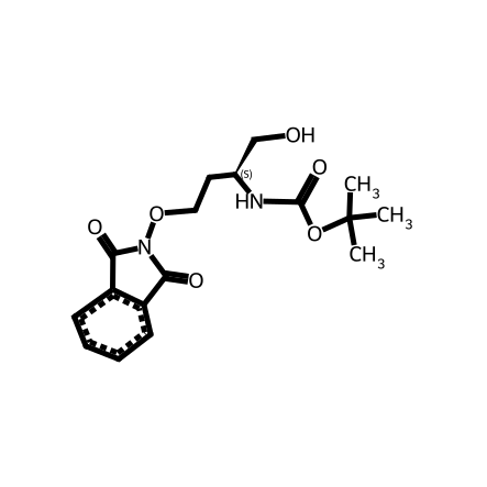 CC(C)(C)OC(=O)N[C@H](CO)CCON1C(=O)c2ccccc2C1=O